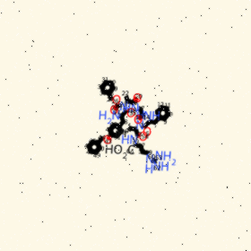 CC(C)CC(NC(=O)C(Cc1ccccc1)NC(=O)CNC(=O)C(C)N(C(=O)OCc1ccccc1)C(=O)C(N)Cc1ccc(OCc2ccccc2)cc1)C(=O)NC(CCCNC(=N)N)C(=O)O